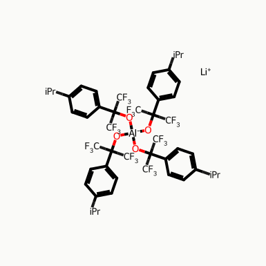 CC(C)c1ccc(C([O][Al-]([O]C(c2ccc(C(C)C)cc2)(C(F)(F)F)C(F)(F)F)([O]C(c2ccc(C(C)C)cc2)(C(F)(F)F)C(F)(F)F)[O]C(c2ccc(C(C)C)cc2)(C(F)(F)F)C(F)(F)F)(C(F)(F)F)C(F)(F)F)cc1.[Li+]